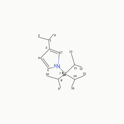 CC(C)c1ccn([Si](C(C)C)(C(C)C)C(C)C)c1